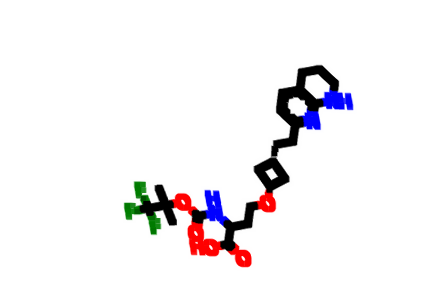 CC(C)(OC(=O)NC(CCO[C@H]1C[C@H](CCc2ccc3c(n2)NCCC3)C1)C(=O)O)C(F)(F)F